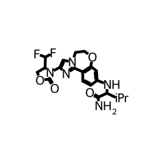 CC(C)C(Nc1ccc2c(c1)OCCn1cc(N3C(=O)OCC3C(F)F)nc1-2)C(N)=O